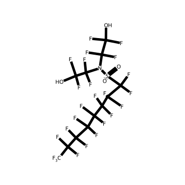 O=S(=O)(N(C(F)(F)C(O)(F)F)C(F)(F)C(O)(F)F)C(F)(F)C(F)(F)C(F)(F)C(F)(F)C(F)(F)C(F)(F)C(F)(F)C(F)(F)F